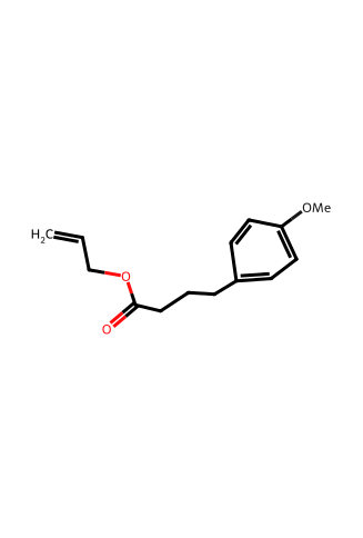 C=CCOC(=O)CCCc1ccc(OC)cc1